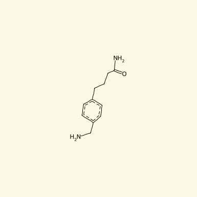 NCc1ccc(CCCC(N)=O)cc1